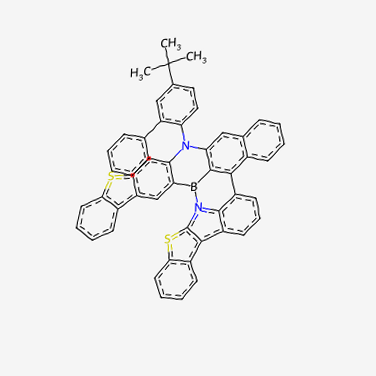 CC(C)(C)c1ccc(N2c3cc4sc5ccccc5c4cc3B3c4c2cc2ccccc2c4-c2cccc4c5c6ccccc6sc5n3c24)c(-c2ccccc2)c1